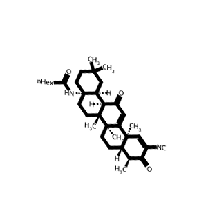 [C-]#[N+]C1=C[C@]2(C)C3=CC(=O)[C@@H]4[C@@H]5CC(C)(C)CC[C@]5(NC(=O)CCCCCC)CC[C@@]4(C)[C@]3(C)CC[C@H]2[C@H](C)C1=O